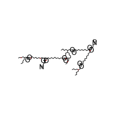 CCCCC(CCCC)CCOC(=O)CCCCCCCCCC(CCCCCCCCCC(=O)OCCC(CCCC)C(CCC)CCCCC(CCCC)CC(=O)OCCCCCCCCCCC(CCCCCCCCCCOC(=O)CC(CCCC)CCCC)OC(=O)CCCN(C)C)OC(=O)CCCN1CCCC1